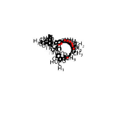 COc1c(N2CC3CCCN(C4CCN(C5=C6NC(=O)/C(C)=C\C=C\[C@H](C)[C@H](O)[C@@H](C)[C@@H](O)[C@@H](C)[C@H](OC(C)=O)[C@H](C)[C@@H](OC)/C=C/O[C@@]7(C)Oc8c(C)c(O)c(c(c8C7=O)C5=O)C6=O)CC4)C3C2)c(F)cc2c(=O)c(C(C)=O)cn(C3CC3)c12